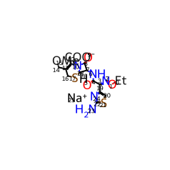 CCON=C(C(=O)NC1C(=O)N2C(C(=O)[O-])=C(COC)CS[C@@H]12)c1csc(N)n1.[Na+]